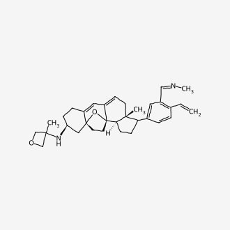 C=Cc1ccc(C2CC[C@H]3[C@@]45CC[C@]6(C[C@@H](NC7(C)COC7)CCC6=CC4=CC[C@]23C)O5)cc1/C=N\C